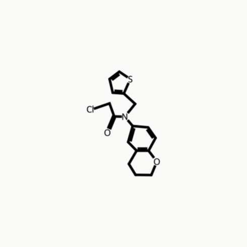 O=C(CCl)N(Cc1cccs1)c1ccc2c(c1)CCCO2